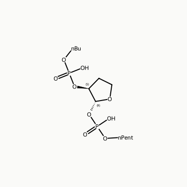 CCCCCOP(=O)(O)O[C@H]1OCC[C@@H]1OP(=O)(O)OCCCC